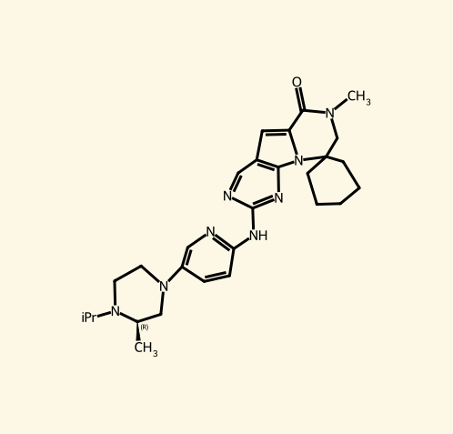 CC(C)N1CCN(c2ccc(Nc3ncc4cc5n(c4n3)C3(CCCCC3)CN(C)C5=O)nc2)C[C@H]1C